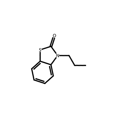 CCCn1c(=O)sc2ccccc21